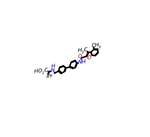 CC1=CC=CC2OC(C(=O)Nc3ccc(-c4ccc(CN[C@H](C(=O)O)C(C)C)cc4)cc3)=C(C)C12